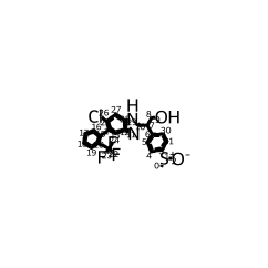 C[S+]([O-])c1ccc(C(CO)c2nc3cc(-c4ccccc4C(F)(F)F)c(Cl)cc3[nH]2)cc1